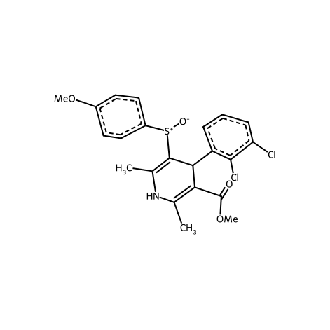 COC(=O)C1=C(C)NC(C)=C([S+]([O-])c2ccc(OC)cc2)C1c1cccc(Cl)c1Cl